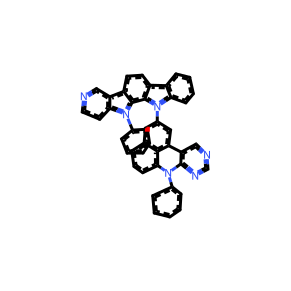 c1ccc(N2c3ncncc3-c3cc(-n4c5ccccc5c5ccc6c7cnccc7n(-c7ccccc7)c6c54)cc4cccc2c34)cc1